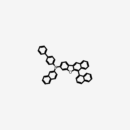 c1ccc(-c2ccc(N(c3ccc4ccccc4c3)c3ccc4c(c3)oc3c(-c5cccc6ccccc56)c5ccccc5cc34)cc2)cc1